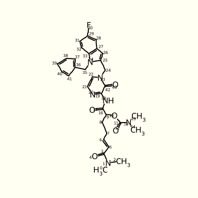 CN(C)C(=O)C=CCCC(OC(=O)N(C)C)C(=O)Nc1nccn(Cc2cc3cc(F)ccc3n2Cc2ccccc2)c1=O